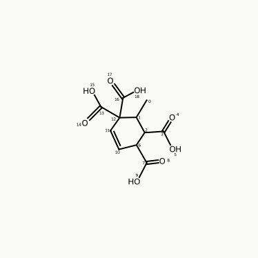 CC1C(C(=O)O)C(C(=O)O)C=CC1(C(=O)O)C(=O)O